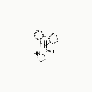 O=C(Nc1ccccc1-c1ccccc1F)[C@@H]1CCCN1